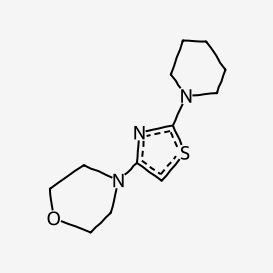 c1sc(N2CCCCC2)nc1N1CCOCC1